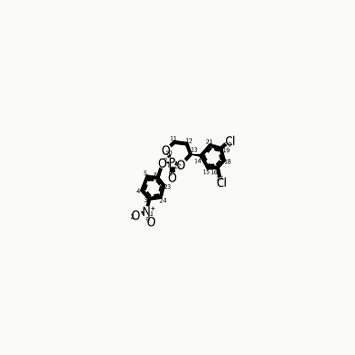 O=[N+]([O-])c1ccc(O[P@]2(=O)OCC[C@@H](c3cc(Cl)cc(Cl)c3)O2)cc1